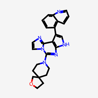 c1cc(-c2c[nH]c3nc(N4CCC5(CCOC5)CC4)n4ccnc4c23)c2cccnc2c1